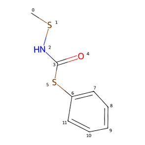 CSNC(=O)Sc1ccccc1